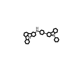 c1ccc(-n2c3ccccc3c3cc(-c4ccc(Nc5ccc6c(c5)c5cccc7c8ccccc8n6c75)cc4)ccc32)cc1